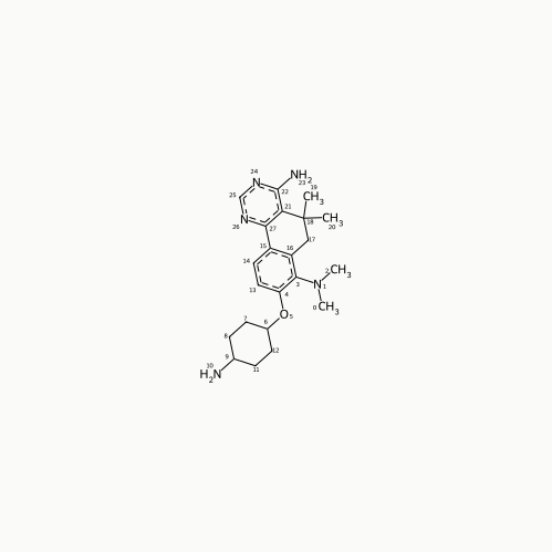 CN(C)c1c(OC2CCC(N)CC2)ccc2c1CC(C)(C)c1c(N)ncnc1-2